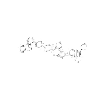 c1ccc(-n2c3ccccc3c3cc(-c4ccc5c(c4)-c4ccccc4C(c4ccc(-c6ccc(-c7cccc8c7sc7ccccc78)cc6)cc4)CC5)ccc32)cc1